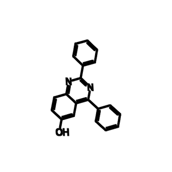 Oc1ccc2nc(-c3ccccc3)nc(-c3ccccc3)c2c1